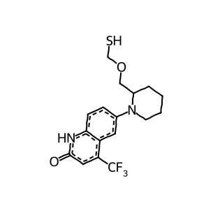 O=c1cc(C(F)(F)F)c2cc(N3CCCCC3COCS)ccc2[nH]1